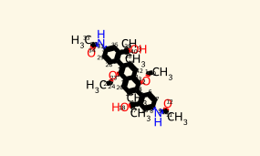 CCOc1c(-c2ccc(NC(C)=O)cc2C(C)(C)O)ccc2c(OCC)c(-c3ccc(NC(C)=O)cc3C(C)(C)O)ccc12